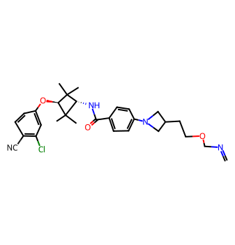 C=NCOCCC1CN(c2ccc(C(=O)N[C@H]3C(C)(C)[C@H](Oc4ccc(C#N)c(Cl)c4)C3(C)C)cc2)C1